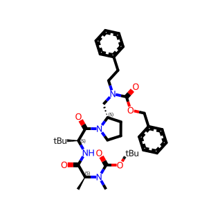 C[C@@H](C(=O)N[C@H](C(=O)N1CCC[C@H]1CN(CCc1ccccc1)C(=O)OCc1ccccc1)C(C)(C)C)N(C)C(=O)OC(C)(C)C